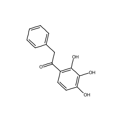 O=C(Cc1ccccc1)c1ccc(O)c(O)c1O